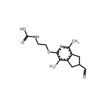 Cc1nc(OCCNC(=O)O)c(C)c2c1CC(C=O)C2